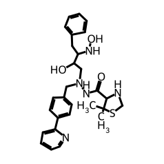 CC1(C)SCNC1C(=O)NN(Cc1ccc(-c2ccccn2)cc1)CC(O)C(Cc1ccccc1)NO